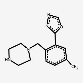 FC(F)(F)c1ccc(CN2CCNCC2)c(-c2nnco2)c1